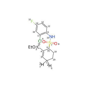 [2H]C1([2H])C=C(C(=O)OCC)[C@@H](S(=O)(=O)Nc2ccc(F)cc2Cl)CC1